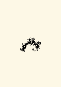 CON=C(C(=O)NC1C(=O)N2C(C(=O)O)=C(C=NNc3ccc([N+](=O)[O-])cc3)SCC12)c1csc(N)n1